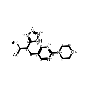 CCC[C@H](C(C)=O)[C@H](Cc1cnc(N2CCOCC2)nc1)c1nnn[nH]1